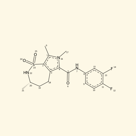 Cc1c2c(c(C(=O)Nc3ccc(F)c(F)c3)n1C)CC[C@H](C)NS2(=O)=O